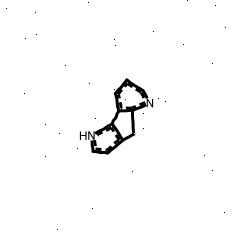 c1cnc2c(c1)-c1[nH]ccc1C2